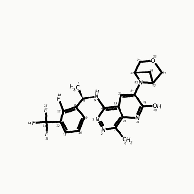 Cc1nnc(N[C@H](C)c2cccc(C(F)(F)F)c2F)c2cc(N3C4COCC3C4)c(O)nc12